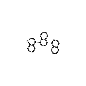 c1ccc2c(-c3ccc(-c4ccnc5ccccc45)c4ccccc34)cccc2c1